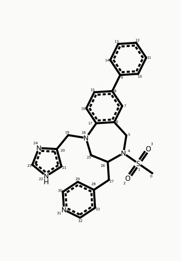 CS(=O)(=O)N1Cc2cc(-c3ccccc3)ccc2N(Cc2c[nH]cn2)CC1Cc1ccncc1